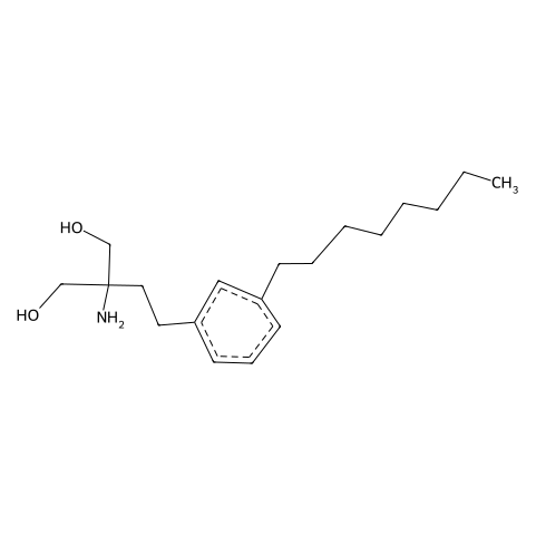 CCCCCCCCc1cccc(CCC(N)(CO)CO)c1